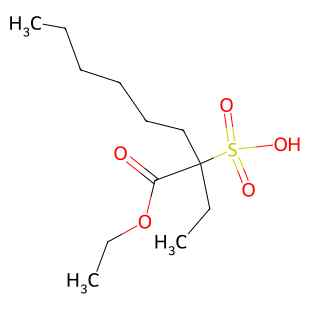 CCCCCCC(CC)(C(=O)OCC)S(=O)(=O)O